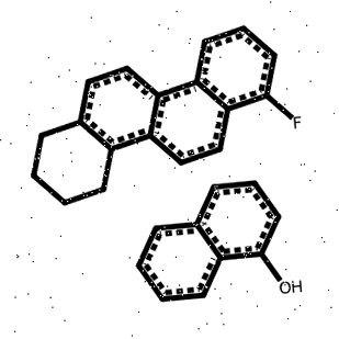 Fc1cccc2c1ccc1c3c(ccc12)CCCC3.Oc1cccc2ccccc12